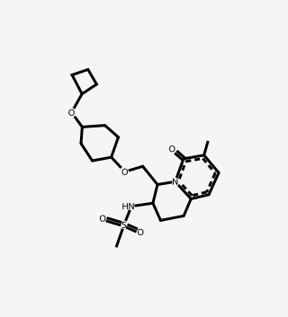 Cc1ccc2n(c1=O)C(COC1CCC(OC3CCC3)CC1)C(NS(C)(=O)=O)CC2